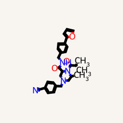 CC(C)C(=O)N1C(C)CN(Cc2ccc(C#N)cc2)CC1C(=O)NCc1ccc(-c2ccco2)cc1